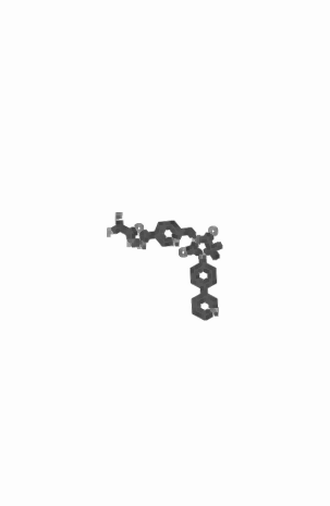 CC1(C)C(=O)N(Cc2ccc(-c3nnc(C(F)F)o3)cn2)C(=O)N1c1ccc(-c2cccnc2)cc1